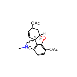 CC(=O)Oc1ccc2c3c1O[C@H]1CC(OC(C)=O)C=C[C@@]31CCN(C)C2